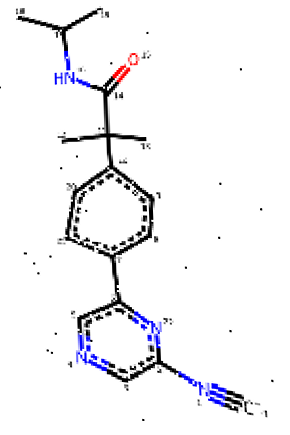 [C-]#[N+]c1cncc(-c2ccc(C(C)(C)C(=O)NC(C)C)cc2)n1